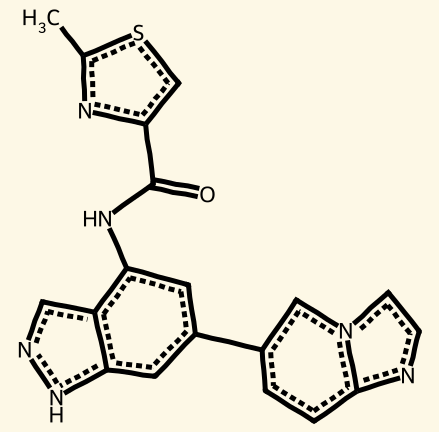 Cc1nc(C(=O)Nc2cc(-c3ccc4nccn4c3)cc3[nH]ncc23)cs1